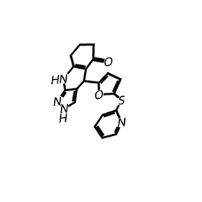 O=C1CCCC2=C1C(c1ccc(Sc3ccccn3)o1)c1c[nH]nc1N2